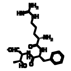 C[C@H](O)[C@@H]([C]=O)NC(=O)[C@H](Cc1ccccc1)NC(=O)[C@@H](N)CCCNC(=N)N